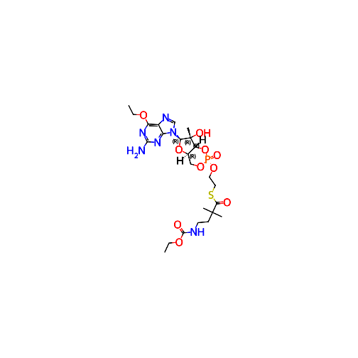 CCOC(=O)NCCC(C)(C)C(=O)SCCOP1(=O)OC[C@H]2O[C@@H](n3cnc4c(OCC)nc(N)nc43)[C@](C)(O)[C@@H]2O1